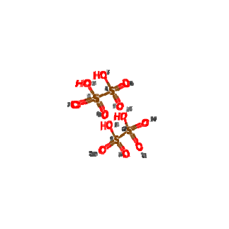 O=S(=O)(O)S(=O)(=O)O.O=S(=O)(O)S(=O)(=O)O